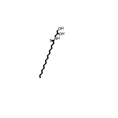 CCCCCCCCCCCCCCCC(=S)NCC(O)CO